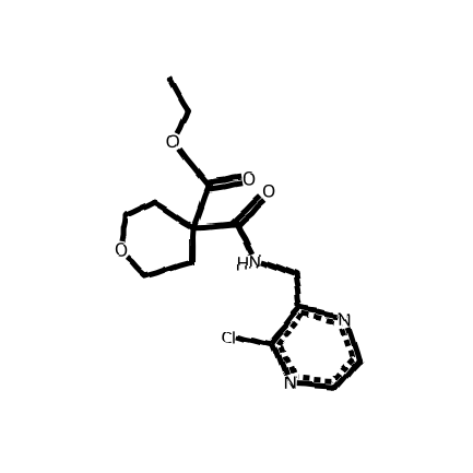 CCOC(=O)C1(C(=O)NCc2nccnc2Cl)CCOCC1